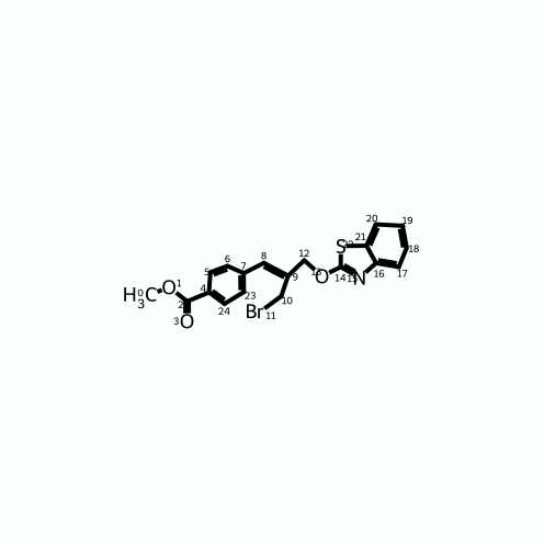 COC(=O)c1ccc(/C=C(\CBr)COc2nc3ccccc3s2)cc1